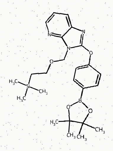 CC1(C)OB(c2ccc(Oc3nc4cccnc4n3COCC[Si](C)(C)C)cc2)OC1(C)C